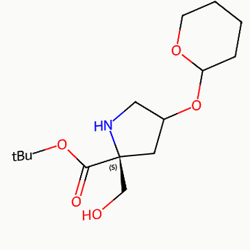 CC(C)(C)OC(=O)[C@@]1(CO)CC(OC2CCCCO2)CN1